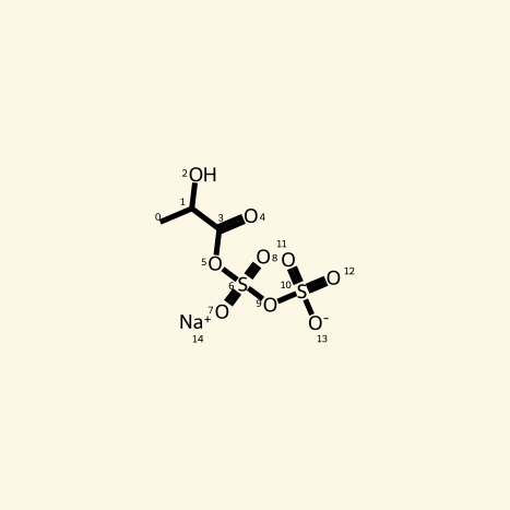 CC(O)C(=O)OS(=O)(=O)OS(=O)(=O)[O-].[Na+]